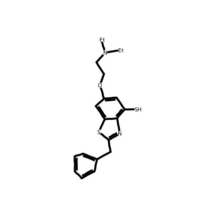 CCN(CC)CCOc1cc(S)c2nc(Cc3ccccc3)sc2c1